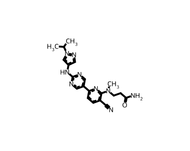 CC(C)n1cc(Nc2ncc(-c3ccc(C#N)c(N(C)CCC(N)=O)n3)cn2)cn1